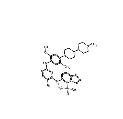 COc1cc(N2CCC(N3CCN(C)CC3)CC2)c(C)cc1Nc1ncc(Br)c(Nc2ccc3nncn3c2P(C)(C)=O)n1